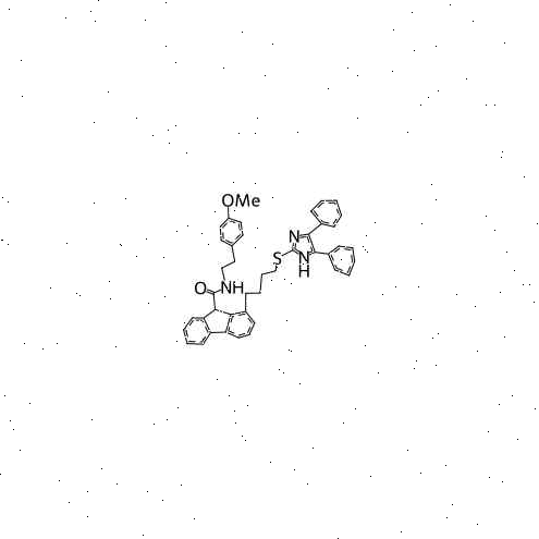 COc1ccc(CCNC(=O)C2c3ccccc3-c3cccc(CCCCSc4nc(-c5ccccc5)c(-c5ccccc5)[nH]4)c32)cc1